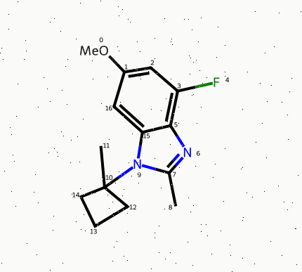 COc1cc(F)c2nc(C)n(C3(C)CCC3)c2c1